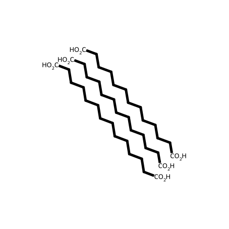 O=C(O)CCCCCCCCCCCC(=O)O.O=C(O)CCCCCCCCCCCC(=O)O.O=C(O)CCCCCCCCCCCCC(=O)O